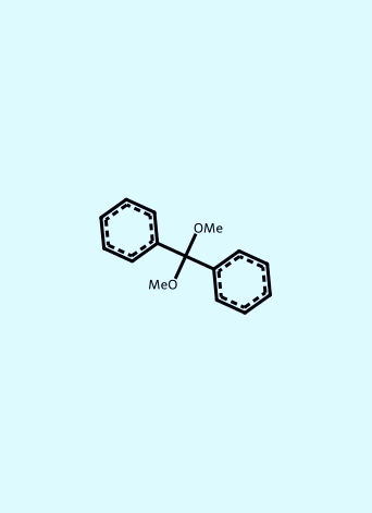 COC(OC)(c1ccccc1)c1ccccc1